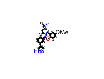 COc1cccc(Cn2c(CCN(C)C)nc3ccc(-c4cn[nH]c4)cc3c2=O)c1